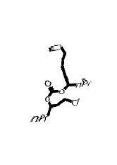 CCCC(CCCl)OC(=O)OC(CCC)CCCl